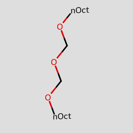 CCCCCCCCOCOCOCCCCCCCC